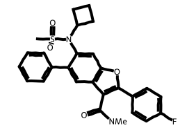 CNC(=O)c1c(-c2ccc(F)cc2)oc2cc(N(C3CCC3)S(C)(=O)=O)c(-c3ccccc3)cc12